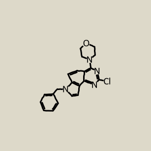 Clc1nc(N2CCOCC2)c2ccc3c(ccn3Cc3ccccc3)c2n1